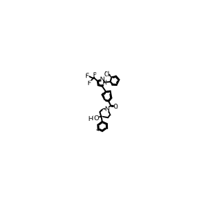 O=C(c1ccc(-c2cc(C(F)(F)F)nn2-c2ccccc2Cl)cc1)N1CCC(O)(c2ccccc2)CC1